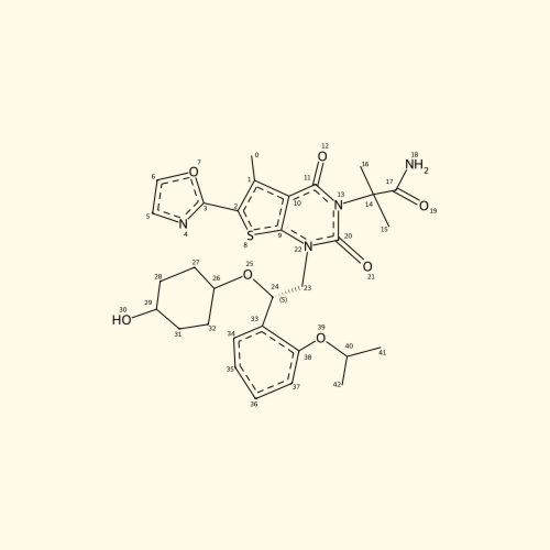 Cc1c(-c2ncco2)sc2c1c(=O)n(C(C)(C)C(N)=O)c(=O)n2C[C@@H](OC1CCC(O)CC1)c1ccccc1OC(C)C